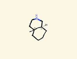 C[C@]12CCCC[C@@H]1CNCC2